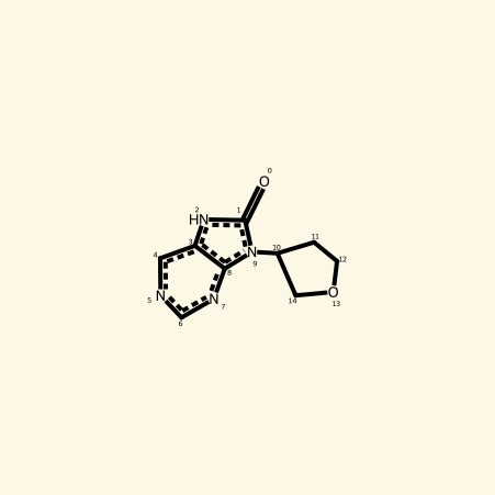 O=c1[nH]c2cncnc2n1C1CCOC1